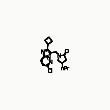 CCCC1CC(=O)N(Cc2c(C3CCC3)nc3ccc(Cl)nn23)C1